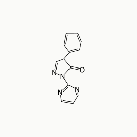 O=C1C(c2ccccc2)C=NN1c1ncccn1